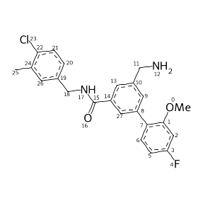 COc1cc(F)ccc1-c1cc(CN)cc(C(=O)NCc2ccc(Cl)c(C)c2)c1